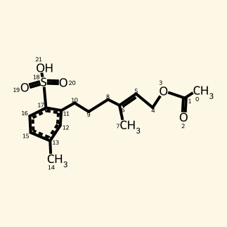 CC(=O)OC/C=C(\C)CCCc1cc(C)ccc1S(=O)(=O)O